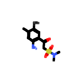 COc1cc(C(=O)CS(=O)(=O)N(C)C)c(N)cc1C